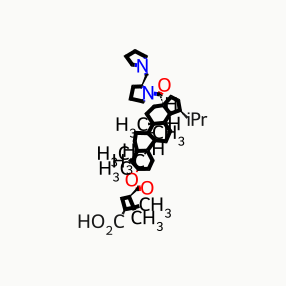 CC(C)[C@@H]1CC[C@]2(C(=O)N3CCC[C@H]3CN3CCCC3)CC[C@]3(C)[C@H](CC[C@@H]4[C@@]5(C)CC[C@H](OC(=O)[C@@H]6C[C@H](C(=O)O)C6(C)C)C(C)(C)[C@@H]5CC[C@]43C)[C@@H]12